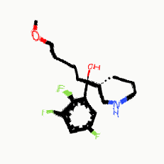 COCCCC[C@@](O)(c1cc(F)cc(F)c1F)[C@@H]1CCCNC1